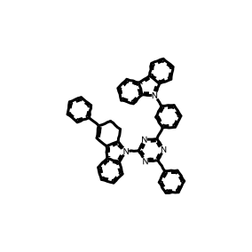 C1=C(c2ccccc2)CCc2c1c1ccccc1n2-c1nc(-c2ccccc2)nc(-c2cccc(-n3c4ccccc4c4ccccc43)c2)n1